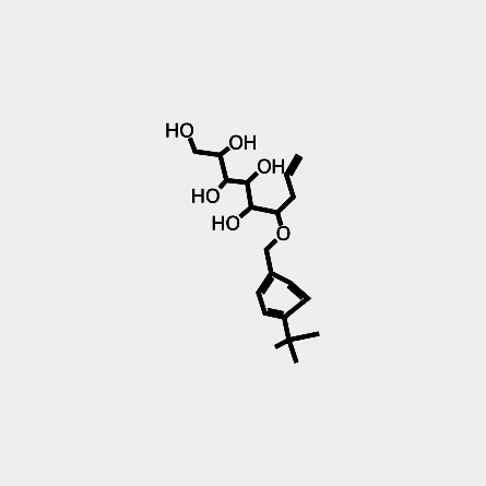 C=CCC(OCc1ccc(C(C)(C)C)cc1)C(O)C(O)C(O)C(O)CO